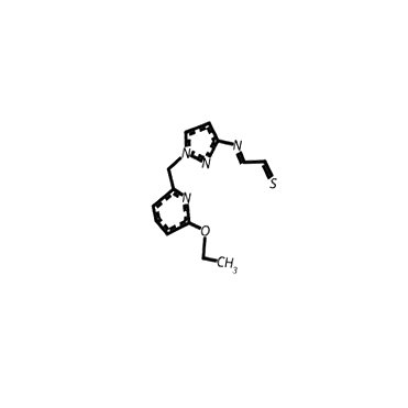 CCOc1cccc(Cn2ccc(N=CC=S)n2)n1